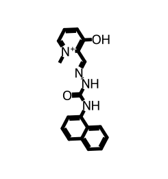 C[n+]1cccc(O)c1C=NNC(=O)Nc1cccc2ccccc12